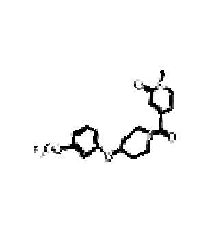 Cn1ccc(C(=O)N2CCC(Oc3cccc(OC(F)(F)F)c3)CC2)cc1=O